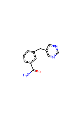 NC(=O)c1cccc(Cc2cncnc2)c1